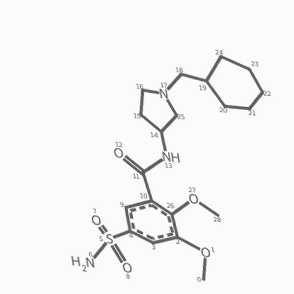 COc1cc(S(N)(=O)=O)cc(C(=O)NC2CCN(CC3CCCCC3)C2)c1OC